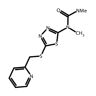 CNC(=O)N(C)c1nnc(SCc2ccccn2)s1